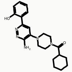 Nc1nnc(-c2ccccc2O)cc1N1CCN(C(=O)C2CCCCC2)CC1